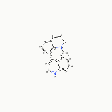 CN1CC=Cc2ccccc21.c1ccc2ncccc2c1